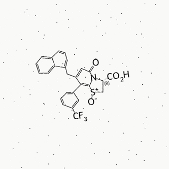 O=C(O)[C@@H]1C[S+]([O-])c2c(-c3cccc(C(F)(F)F)c3)c(Cc3cccc4ccccc34)cc(=O)n21